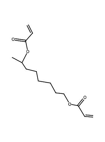 C=CC(=O)OCCCCCCC(C)OC(=O)C=C